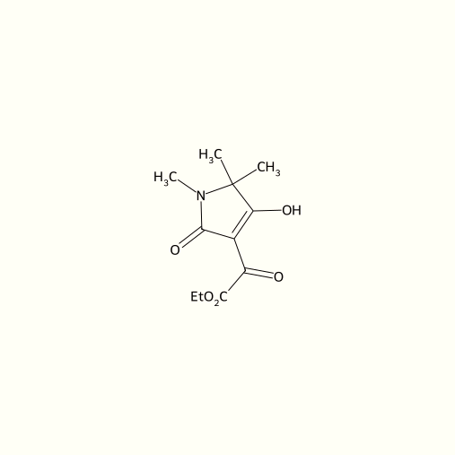 CCOC(=O)C(=O)C1=C(O)C(C)(C)N(C)C1=O